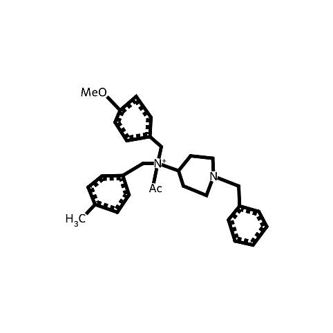 COc1ccc(C[N+](Cc2ccc(C)cc2)(C(C)=O)C2CCN(Cc3ccccc3)CC2)cc1